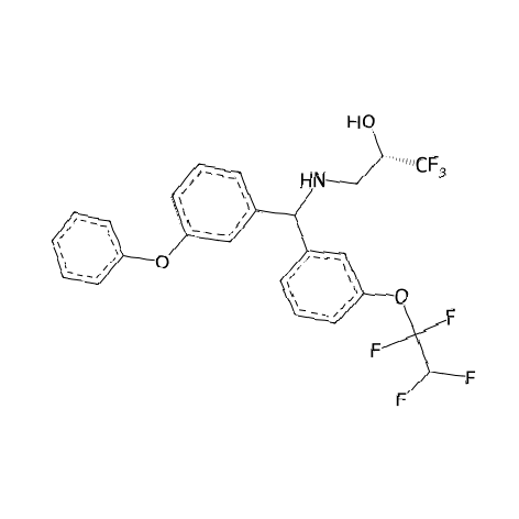 O[C@@H](CNC(c1cccc(Oc2ccccc2)c1)c1cccc(OC(F)(F)C(F)F)c1)C(F)(F)F